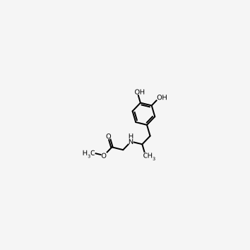 COC(=O)CNC(C)Cc1ccc(O)c(O)c1